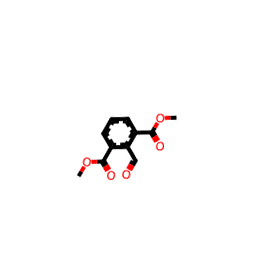 COC(=O)c1cccc(C(=O)OC)c1C=O